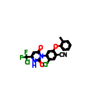 Cc1ccccc1Oc1cc(-n2c(=O)cc(C(F)(F)Cl)[nH]c2=O)c(Cl)cc1C#N